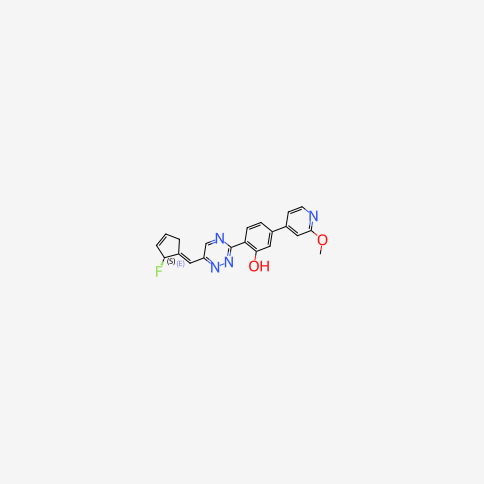 COc1cc(-c2ccc(-c3ncc(/C=C4\CC=C[C@@H]4F)nn3)c(O)c2)ccn1